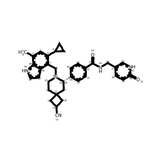 Cc1cc(C2CC2)c(CN2CCC3(CC(C#N)C3)C[C@H]2c2ccc(C(=O)NCc3ccc(=O)[nH]c3)cc2)c2cc[nH]c12